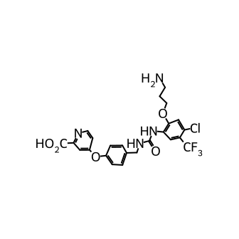 NCCCOc1cc(Cl)c(C(F)(F)F)cc1NC(=O)NCc1ccc(Oc2ccnc(C(=O)O)c2)cc1